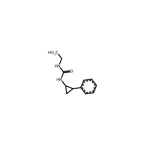 O=C(O)CNC(=O)NC1CC1c1ccccc1